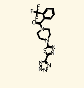 O=C(c1ccccc1C(F)(F)F)N1CCN(c2nnc(C3=N[N]N=N3)s2)CC1